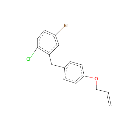 C=CCOc1ccc(Cc2cc(Br)ccc2Cl)cc1